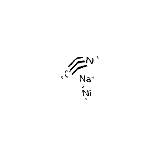 [C-]#N.[Na+].[Ni]